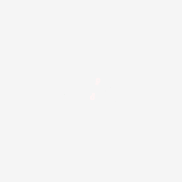 O=S(=O)(CCCCl)c1ccccc1